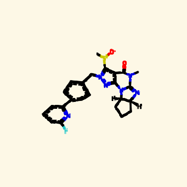 CN1C(=O)c2c(nn(Cc3ccc(-c4cccc(F)n4)cc3)c2[S+](C)[O-])N2C1=N[C@@H]1CCC[C@@H]12